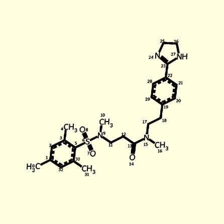 Cc1cc(C)c(S(=O)(=O)N(C)CCC(=O)N(C)CCc2ccc(C3=NCCN3)cc2)c(C)c1